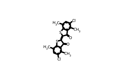 Cc1cc(Cl)c(C)c2c1S/C(=C1\Sc3c(C)cc(Cl)c(C)c3C1=O)C2=O